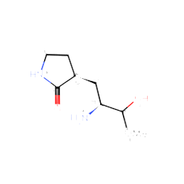 COC(O)[C@@H](N)C[C@@H]1CCNC1=O